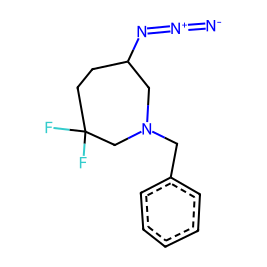 [N-]=[N+]=NC1CCC(F)(F)CN(Cc2ccccc2)C1